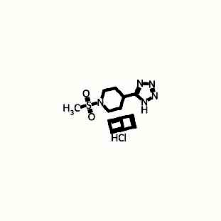 CS(=O)(=O)N1CCC(c2nnn[nH]2)CC1.Cl.c1cc2ccc1-2